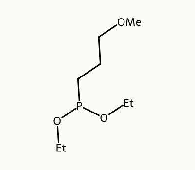 CCOP(CCCOC)OCC